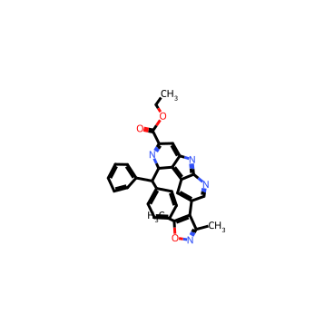 CCOC(=O)C1=NC(C(c2ccccc2)c2ccccc2)C2=c3cc(-c4c(C)noc4C)cnc3=NC2=C1